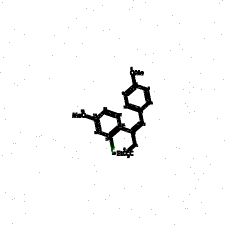 CCOC(=O)CC(=Cc1ccc(OC)cc1)c1ccc(OC)cc1F